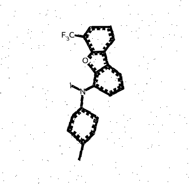 Cc1ccc(N(I)c2cccc3c2oc2c(C(F)(F)F)cccc23)cc1